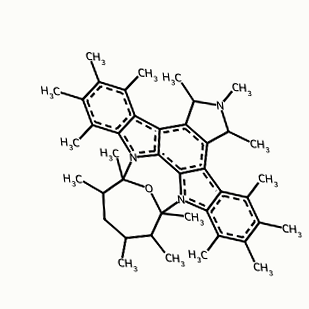 Cc1c(C)c(C)c2c(c1C)c1c3c(c4c5c(C)c(C)c(C)c(C)c5n5c4c1n2C1(C)OC5(C)C(C)C(C)CC1C)C(C)N(C)C3C